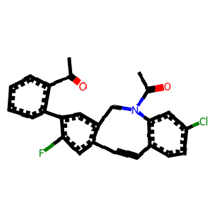 CC(=O)c1ccccc1-c1cc2c(cc1F)C=Cc1ccc(Cl)cc1N(C(C)=O)C2